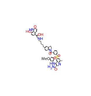 COc1cccc(Nc2c(C(N)=O)cnc3c(C)cc(S(=O)(=O)c4cccc(C(=O)N5CCc6cc(CCCCCNC[C@H](O)c7ccc(O)c8[nH]c(=O)ccc78)ccc65)c4)cc23)c1